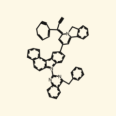 C#C/C(C1=CC=CCC#C1)=C1/C=C(c2ccc3c(c2)c2c4ccccc4ccc2n3-c2nc(Cc3ccccc3)c3ccccc3n2)C=C2c3ccccc3CN21